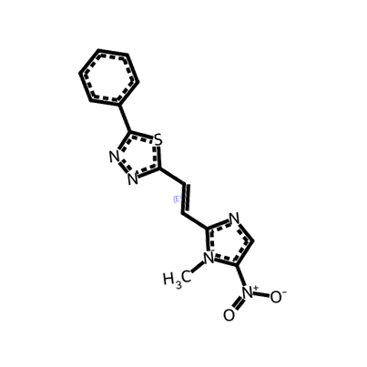 Cn1c([N+](=O)[O-])cnc1/C=C/c1nnc(-c2ccccc2)s1